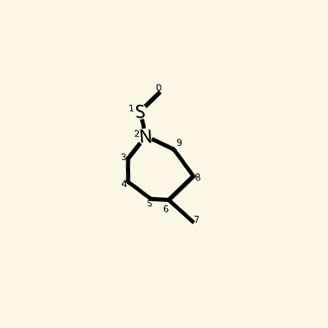 CSN1CCCC(C)CC1